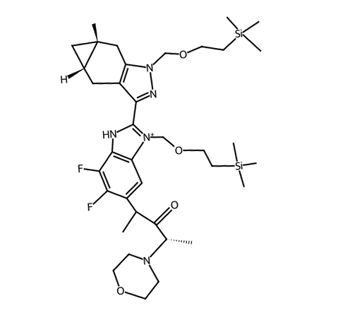 CC(C(=O)[C@H](C)N1CCOCC1)c1cc2c([nH]c(-c3nn(COCC[Si](C)(C)C)c4c3C[C@@H]3C[C@]3(C)C4)[n+]2COCC[Si](C)(C)C)c(F)c1F